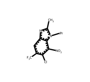 Cc1nc2cc(C(F)(F)F)c(Cl)c([N+](=O)[O-])c2n1C(C)C